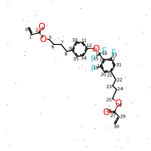 C=CC(=O)OCCCCc1ccc(OC(F)(F)c2c(F)cc(CCCCOC(=O)C=C)cc2F)cc1